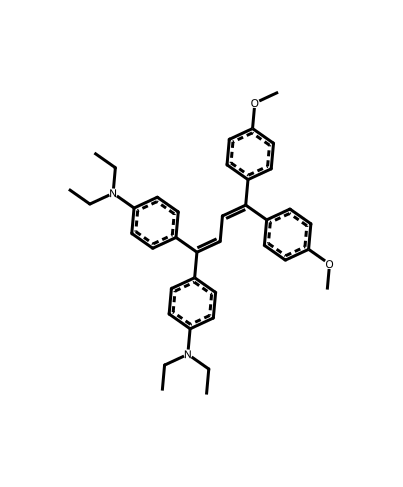 CCN(CC)c1ccc(C(=CC=C(c2ccc(OC)cc2)c2ccc(OC)cc2)c2ccc(N(CC)CC)cc2)cc1